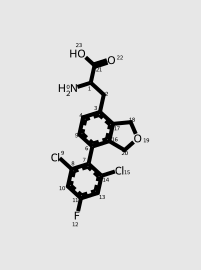 NC(Cc1ccc(-c2c(Cl)cc(F)cc2Cl)c2c1COC2)C(=O)O